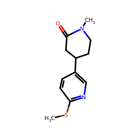 CSc1ccc(C2CCN(C)C(=O)C2)cn1